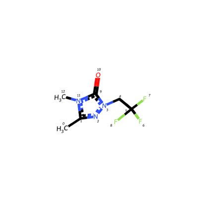 Cc1nn(CC(F)(F)F)c(=O)n1C